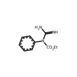 CCOC(=O)N(C(=N)N)c1ccccc1